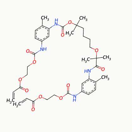 C=CC(=O)OCCOC(=O)Nc1ccc(C)c(NC(=O)OC(C)(C)CCCCOC(C)(C)C(=O)Nc2cc(NC(=O)OCCOC(=O)C=C)ccc2C)c1